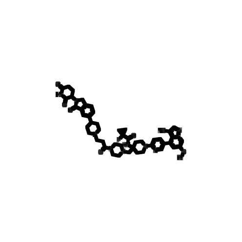 CCOc1cc(-c2ccc(N3CCC(CN4CCN(C(=O)CCN5CCC(c6ccc7c(c6)C(=O)N(C6CCC(=O)NC6=O)C7)CC5)CC4)(NC(=O)C4(F)CC4)CC3)nc2)c2c(C#N)cnn2c1